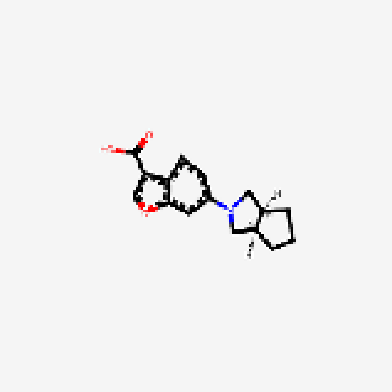 O=C(O)c1coc2cc(N3C[C@H]4CCC[C@H]4C3)ccc12